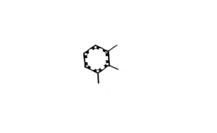 COc1c(C)c[c]cc1F